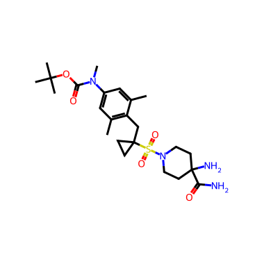 Cc1cc(N(C)C(=O)OC(C)(C)C)cc(C)c1CC1(S(=O)(=O)N2CCC(N)(C(N)=O)CC2)CC1